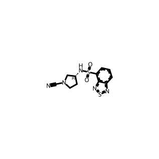 N#CN1CC[C@@H](NS(=O)(=O)c2cccc3nsnc23)C1